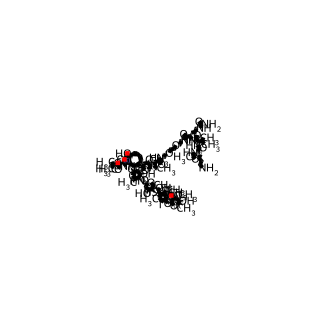 CCN(CC(=O)NCCOCCOCCNC(=O)[C@H](CCCNC(N)=O)NC(=O)[C@@H](NC(=O)[C@H](CCCCN)NC(C)=O)C(C)C)[C@H]1CO[C@@H](O[C@H]2[C@H](O[C@H]3C#CC=CC#C[C@]4(O)CC(=O)C(NC(=O)OC)=C3/C4=C\CSSC(C)C)O[C@H](C)[C@@H](NO[C@H]3C[C@H](O)[C@H]([SH]=C(O)c4c(C)c(I)c(O[C@@H]5O[C@@H](C)[C@H](O)[C@@H](OC)[C@H]5O)c(OC)c4OC)[C@@H](C)O3)[C@@H]2O)C[C@@H]1OC